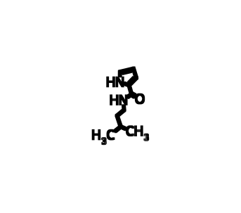 CC(C)CCNC(=O)c1ccc[nH]1